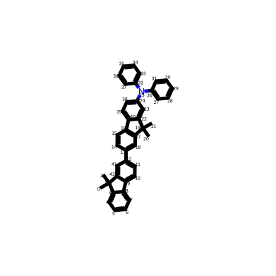 CC1(C)c2ccccc2-c2ccc(-c3ccc4c(c3)C(C)(C)c3cc(N(c5ccccc5)c5ccccc5)ccc3-4)cc21